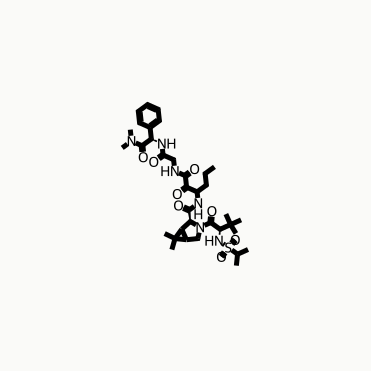 CCCC(NC(=O)[C@@H]1C2C(CN1C(=O)[C@@H](NS(=O)(=O)C(C)C)C(C)(C)C)C2(C)C)C(=O)C(=O)NCC(=O)N[C@H](C(=O)N(C)C)c1ccccc1